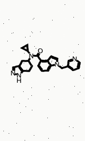 O=C(c1cccc2c1ccn2Cc1cccnc1)N(C1CC1)C1CCc2[nH]ncc2C1